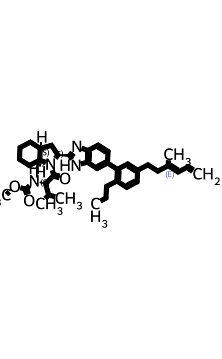 C=C/C=C(\C)CCc1ccc(CCC)c(-c2ccc3nc([C@@H]4C[C@@H]5CCCC[C@@H]5N4C(=O)[C@@H](NC(=O)OC)C(C)C)[nH]c3c2)c1